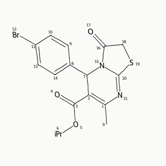 CC1=C(C(=O)OC(C)C)C(c2ccc(Br)cc2)N2C(=O)CSC2=N1